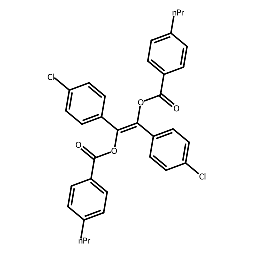 CCCc1ccc(C(=O)O/C(=C(/OC(=O)c2ccc(CCC)cc2)c2ccc(Cl)cc2)c2ccc(Cl)cc2)cc1